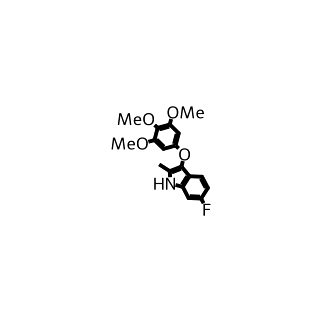 COc1cc(Oc2c(C)[nH]c3cc(F)ccc23)cc(OC)c1OC